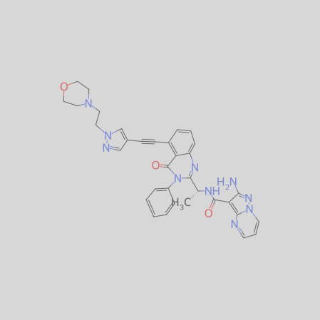 C[C@@H](NC(=O)c1c(N)nn2cccnc12)c1nc2cccc(C#Cc3cnn(CCN4CCOCC4)c3)c2c(=O)n1-c1ccccc1